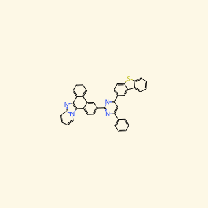 c1ccc(-c2cc(-c3ccc4sc5ccccc5c4c3)nc(-c3ccc4c(c3)c3ccccc3c3nc5ccccn5c43)n2)cc1